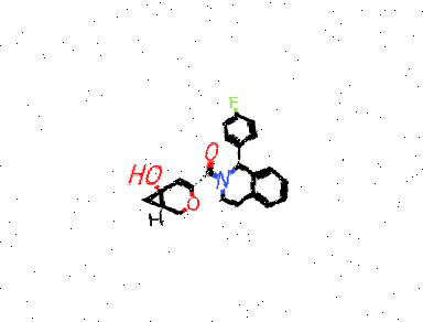 O=C([C@H]1C[C@@]2(O)C[C@@H]2CO1)N1CCc2ccccc2[C@@H]1c1ccc(F)cc1